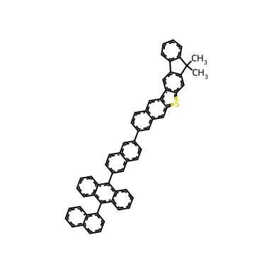 CC1(C)c2ccccc2-c2cc3c(cc21)sc1cc2cc(-c4ccc5cc(-c6c7ccccc7c(-c7cccc8ccccc78)c7ccccc67)ccc5c4)ccc2cc13